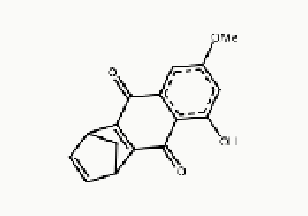 COc1cc(O)c2c(c1)C(=O)C1=C(C2=O)C2C=CC1C2